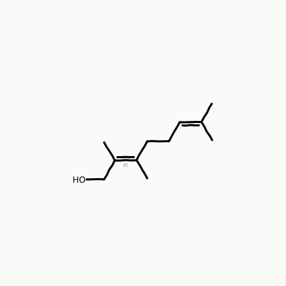 CC(C)=CCC/C(C)=C(\C)CO